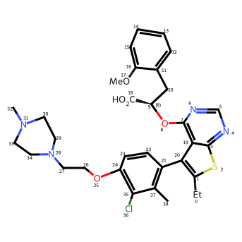 CCc1sc2ncnc(O[C@H](Cc3ccccc3OC)C(=O)O)c2c1-c1ccc(OCCN2CCN(C)CC2)c(Cl)c1C